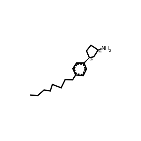 CCCCCCCCc1ccc([C@H]2CC[C@@H](N)C2)cc1